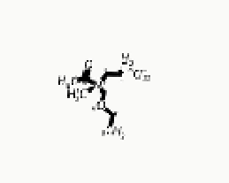 C=CC[N+](C)(COCC)C(C)=O.[Cl-]